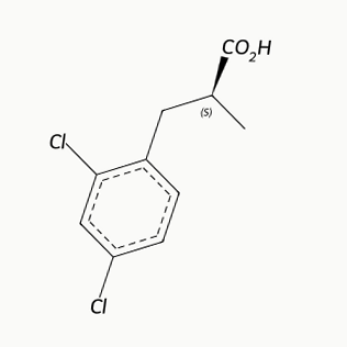 C[C@@H](Cc1ccc(Cl)cc1Cl)C(=O)O